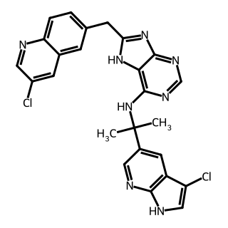 CC(C)(Nc1ncnc2nc(Cc3ccc4ncc(Cl)cc4c3)[nH]c12)c1cnc2[nH]cc(Cl)c2c1